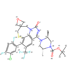 C[C@@H]1CN(c2nc(=O)n3c4c(c(-c5cc(Cl)c(F)cc5F)c(C(F)(F)F)cc24)SCC2(COC2)C3)[C@@H](C)CN1C(=O)OC(C)(C)C